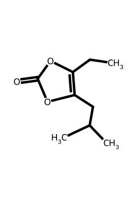 CCc1oc(=O)oc1CC(C)C